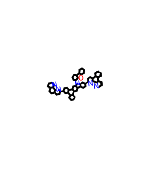 c1cnc2c(c1)ccc1ccc(-c3ccc4c(c3)c3ccccc3c3cc5c6ccc(-c7ccc8c9ccccc9c9cccnc9c8n7)cc6n(-c6cccc7c6oc6ccccc67)c5cc43)nc12